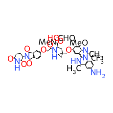 CNC(=O)C(CC1(COc2cc3c(N[C@H](C)c4cc(N)cc(C(F)(F)F)c4)nc(C)nc3cc2OC)CC1)NC(=O)COc1ccc2c(c1)C(=O)N(C1CCC(=O)NC1=O)C2=O.O=CO